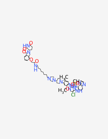 CCc1cc(Nc2ncc(Cl)c(Nc3ccc4nccnc4c3NS(C)(=O)=O)n2)c(OC)cc1N1CCC(N2CCN(CCCCCCCCNC(=O)COc3cccc4c3CN(C3CCC(=O)NC3=O)C4=O)CC2)CC1